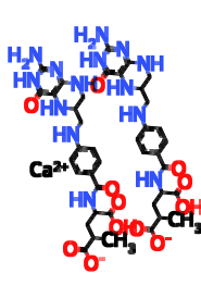 CC(CC(NC(=O)c1ccc(NCC2CNc3nc(N)[nH]c(=O)c3N2)cc1)C(=O)O)C(=O)[O-].CC(CC(NC(=O)c1ccc(NCC2CNc3nc(N)[nH]c(=O)c3N2)cc1)C(=O)O)C(=O)[O-].[Ca+2]